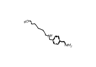 NCc1ccc(CNCCCCCCO)cc1